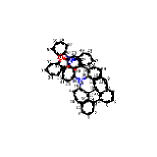 c1ccc(-c2cccc3cccc(-c4ccccc4N(c4ccccc4-c4ccc5oc6ccccc6c5c4)c4cccc5c4c4ccccc4n5-c4ccccc4)c23)cc1